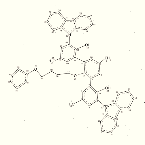 Cc1cc(-c2cc(C)cc(-n3c4ccccc4c4ccccc43)c2O)c(OCCCCOc2ccccc2)c(-c2cc(C)cc(-n3c4ccccc4c4ccccc43)c2O)c1